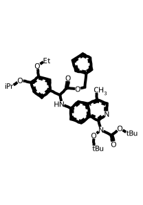 CCOc1cc(C(Nc2ccc3c(N(OC(C)(C)C)C(=O)OC(C)(C)C)ncc(C)c3c2)C(=O)OCc2ccccc2)ccc1OC(C)C